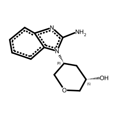 Nc1nc2ccccc2n1[C@H]1COC[C@@H](O)C1